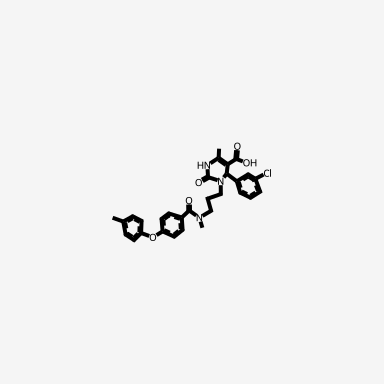 CC1=C(C(=O)O)C(c2cccc(Cl)c2)N(CCCN(C)C(=O)c2ccc(Oc3ccc(C)cc3)cc2)C(=O)N1